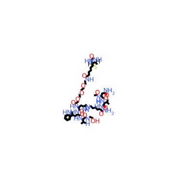 CC(=O)NC(CC(N)=O)C(=O)NC(C(=O)NC(CCCCn1cc(CC(NC(=O)COCCOCCOCCNC(=O)CCCCC2SC[C@H]3NC(=O)N[C@@H]23)C(=O)NC(Cc2c[nH]c3ccccc23)C(=O)NC(C(=O)NCCO)C(C)C)nn1)C(N)=O)C(C)C